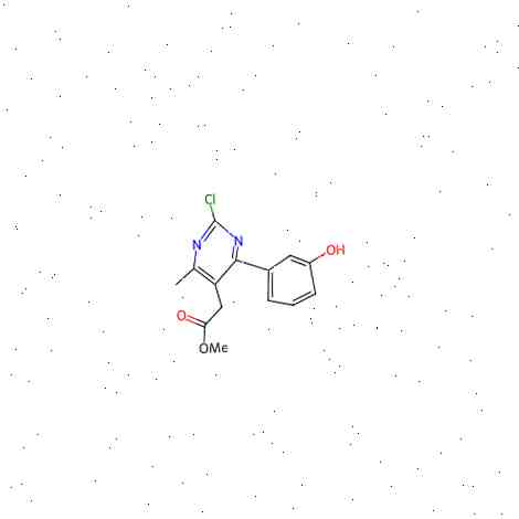 COC(=O)Cc1c(C)nc(Cl)nc1-c1cccc(O)c1